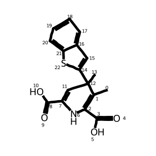 CC1=C(C(=O)O)NC(C(=O)O)=CC1(C)c1cc2ccccc2s1